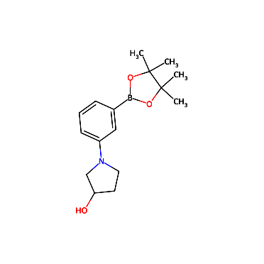 CC1(C)OB(c2cccc(N3CCC(O)C3)c2)OC1(C)C